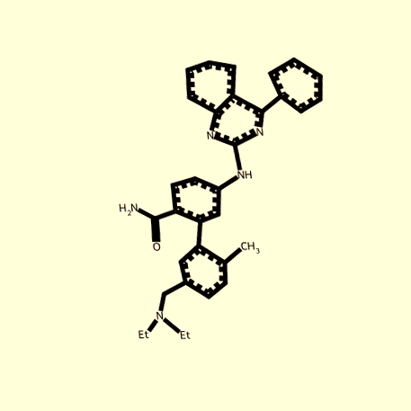 CCN(CC)Cc1ccc(C)c(-c2cc(Nc3nc(-c4ccccc4)c4ccccc4n3)ccc2C(N)=O)c1